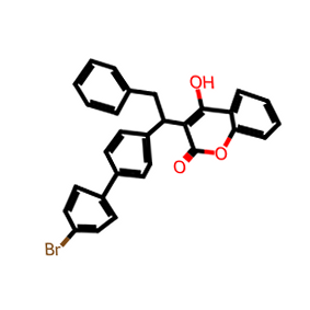 O=c1oc2ccccc2c(O)c1C(Cc1ccccc1)c1ccc(-c2ccc(Br)cc2)cc1